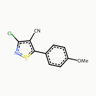 COc1ccc(-c2snc(Cl)c2C#N)cc1